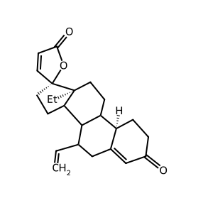 C=CC1CC2=CC(=O)CC[C@@H]2C2CC[C@@]3(CC)C(CC[C@@]34C=CC(=O)O4)C12